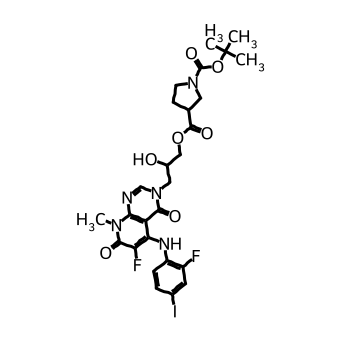 Cn1c(=O)c(F)c(Nc2ccc(I)cc2F)c2c(=O)n(CC(O)COC(=O)C3CCN(C(=O)OC(C)(C)C)C3)cnc21